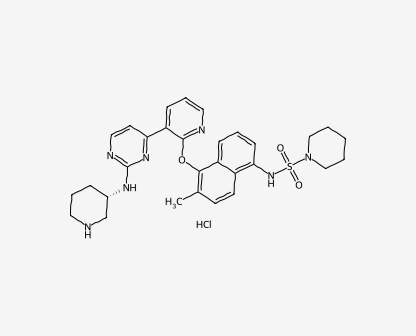 Cc1ccc2c(NS(=O)(=O)N3CCCCC3)cccc2c1Oc1ncccc1-c1ccnc(N[C@H]2CCCNC2)n1.Cl